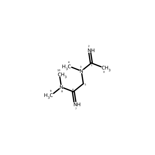 CC(=N)N(C)CC(=N)N(C)C